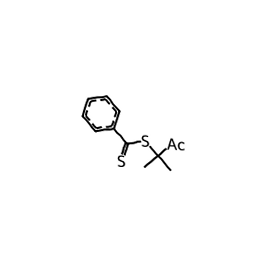 CC(=O)C(C)(C)SC(=S)c1ccccc1